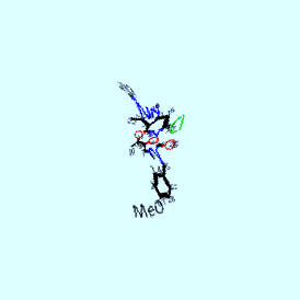 COc1ccc(CN2C[C@@H]([C@@H](C)Oc3nc(Cl)cc4nn(C)c(C)c34)OC2=O)cc1